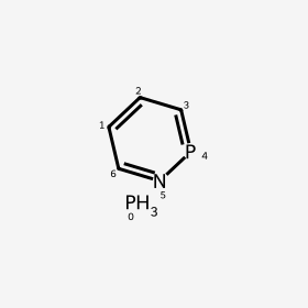 P.c1ccpnc1